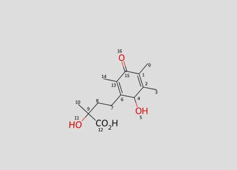 CC1=C(C)C(O)C(CCC(C)(O)C(=O)O)=C(C)C1=O